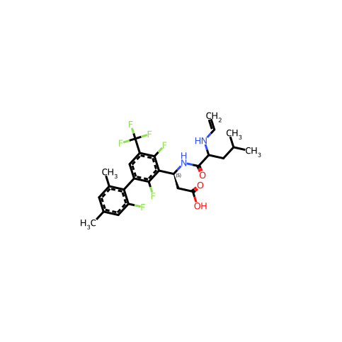 C=CNC(CC(C)C)C(=O)N[C@@H](CC(=O)O)c1c(F)c(-c2c(C)cc(C)cc2F)cc(C(F)(F)F)c1F